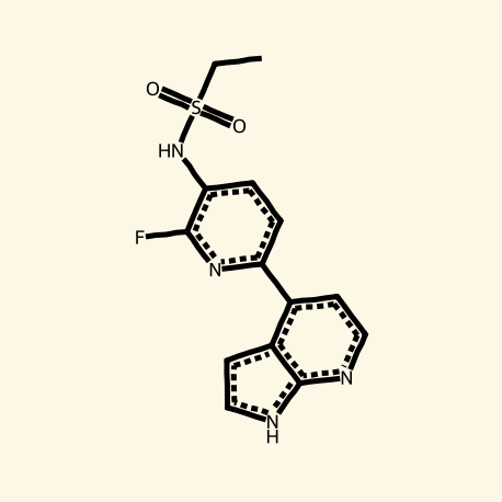 CCS(=O)(=O)Nc1ccc(-c2ccnc3[nH]ccc23)nc1F